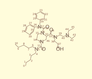 CCCCCN(CCCCC)C(=O)N1CCN(C(=O)N(c2ccccc2)c2ccccc2)C(C(=O)N(CCO)CCN(CC)CC)C1